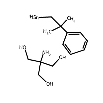 CC(C)([CH2][SnH])c1ccccc1.NC(CO)(CO)CO